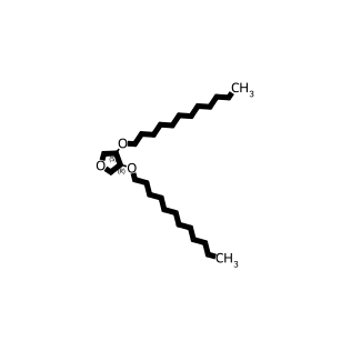 CCCCCCCCCCCCO[C@H]1COC[C@H]1OCCCCCCCCCCCC